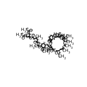 C=CC[C@@H]1/C=C(\C)C[C@H](C)C[C@H](OC)[C@H]2O[C@@](O)(C(=O)C(=O)N3CCCC[C@H]3C(=O)O[C@H](/C(C)=C/[C@@H]3CC[C@@H](OC(C)OC(=O)CC(C)CC(=O)OC(COC(C)=O)COC(C)=O)[C@H](OC)C3)[C@H](C)[C@@H](O)CC1=O)[C@H](C)C[C@@H]2OC